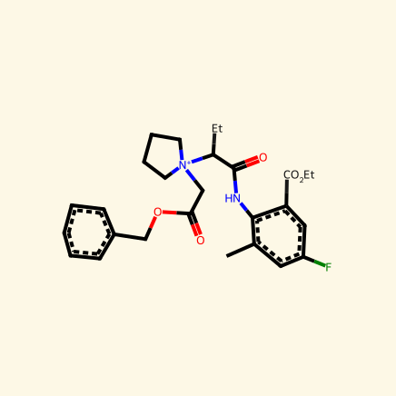 CCOC(=O)c1cc(F)cc(C)c1NC(=O)C(CC)[N+]1(CC(=O)OCc2ccccc2)CCCC1